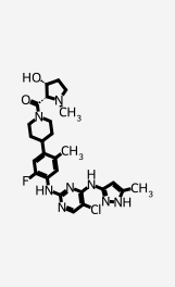 Cc1cc(Nc2nc(Nc3cc(C)c(C4CCN(C(=O)[C@@H]5[C@H](O)CCN5C)CC4)cc3F)ncc2Cl)n[nH]1